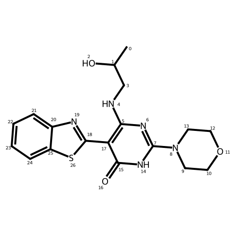 CC(O)CNc1nc(N2CCOCC2)[nH]c(=O)c1-c1nc2ccccc2s1